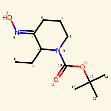 CCC1C(=NO)CCCN1C(=O)OC(C)(C)C